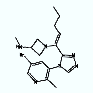 CCC/C=C(/c1nncn1-c1cc(Br)cnc1C)N1CC(NC)C1